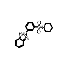 O=S(=O)(c1cccc(-n2nc3ccccc3n2)c1)N1CCCCC1